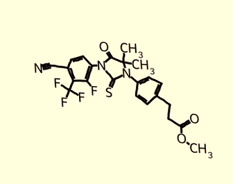 COC(=O)CCc1ccc(N2C(=S)N(c3ccc(C#N)c(C(F)(F)F)c3F)C(=O)C2(C)C)cc1